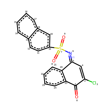 O=C1C(Cl)=C/C(=N/S(=O)(=O)c2ccc3ccccc3c2)c2ccccc21